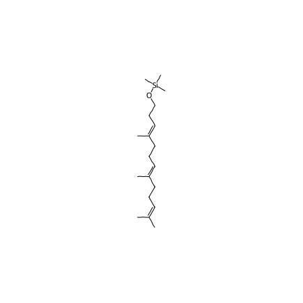 CC(C)=CCC/C(C)=C/CC/C(C)=C/CCO[Si](C)(C)C